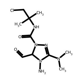 CN(C)C1=NN(C(=O)NC(C)(C)CCl)C(C=O)N1N